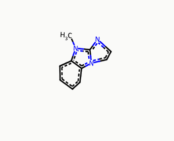 Cn1c2ccccc2n2ccnc12